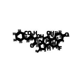 C[C@@H]1C[C@H]2[C@@H]3C[C@H](F)C4=CC(=O)C=C[C@]4(C)[C@@]3(F)[C@@H](O)C[C@@]2(C)[C@H]1C(=O)C(O)C(=Cc1ccccc1)C(=O)O